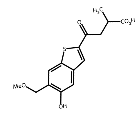 COCc1cc2sc(C(=O)CC(C)C(=O)O)cc2cc1O